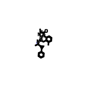 C/C(=N/OCc1c(C)cccc1-n1nnn(C)c1=O)C1CC1c1ccccc1